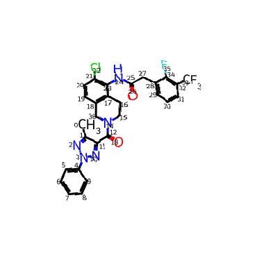 Cc1nn(-c2ccccc2)nc1C(=O)N1CCc2c(ccc(Cl)c2NC(=O)Cc2cccc(C(F)(F)F)c2F)C1